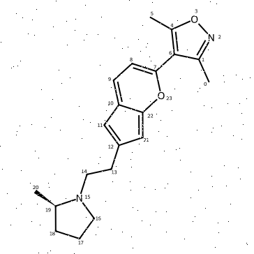 Cc1noc(C)c1-c1ccc2cc(CCN3CCC[C@H]3C)cc-2o1